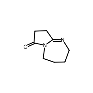 O=C1CCC2=NCCCCN12